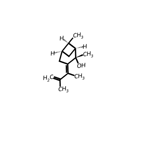 C=C(C)/C(C)=C1\C[C@@H]2C[C@@H]([C@@H]2C)[C@]1(C)O